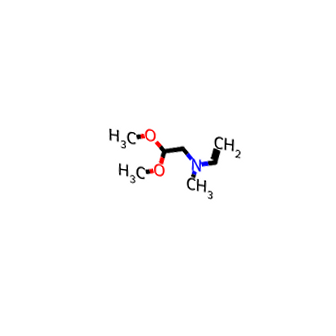 C=CN(C)CC(OC)OC